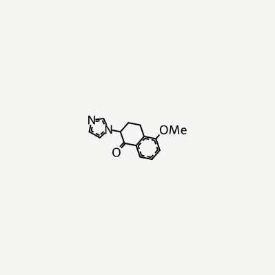 COc1cccc2c1CCC(n1ccnc1)C2=O